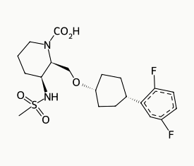 CS(=O)(=O)N[C@H]1CCCN(C(=O)O)[C@H]1CO[C@H]1CC[C@@H](c2cc(F)ccc2F)CC1